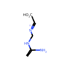 C=C(N)NC/N=C/C(=O)O